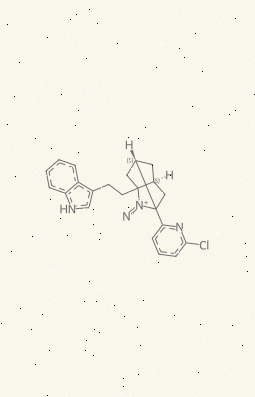 [N-]=[N+]1C2(CCc3c[nH]c4ccccc34)C[C@@H]3C[C@H]2CC31c1cccc(Cl)n1